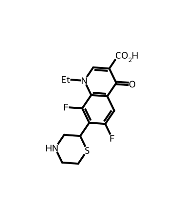 CCn1cc(C(=O)O)c(=O)c2cc(F)c(C3CNCCS3)c(F)c21